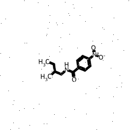 CCC(C)CNC(=O)c1ccc([N+](=O)[O-])cc1